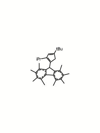 Cc1c(C)c(C)c2c(c1C)-c1c(C)c(C)c(C)c(C)c1C2C1=C(C(C)C)C=C(C(C)(C)C)C1